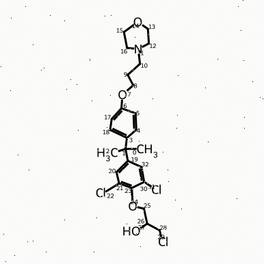 CC(C)(c1ccc(OCCCN2CCOCC2)cc1)c1cc(Cl)c(OCC(O)CCl)c(Cl)c1